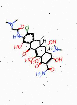 C[C@H]1c2cc(Cl)c(NC(=O)CN(C)C)c(O)c2C(=O)C2=C(O)[C@]3(O)C(=O)C(C(N)=O)=C(O)[C@H](N(C)C)[C@@H]3[C@@H](O)[C@H]21